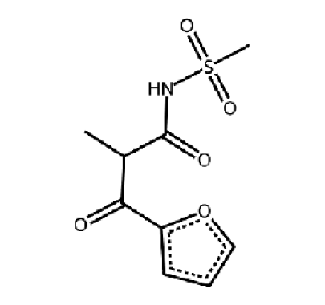 CC(C(=O)NS(C)(=O)=O)C(=O)c1ccco1